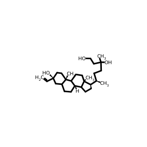 C=C[C@]1(O)CC[C@@]2(C)C(CC[C@@H]3C2CC[C@@]2(C)C3CC[C@@H]2[C@H](C)CCC(C)(O)CCO)C1